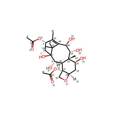 CC(=O)O[C@H]1C[C@@]2(O)[C@@H](O)[C@@H]3[C@]4(OC(C)=O)CO[C@@H]4C[C@H](O)[C@@]3(C)[C@@H](O)[C@H](O)C(=C1C)C2(C)C